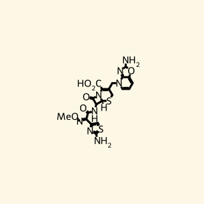 CO/N=C(\C(=O)NC1C(=O)N2C(C(=O)O)=C(CN3C=CC=C4OC(N)N=C43)CS[C@H]12)c1csc(N)n1